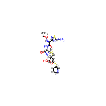 CCON=C(C(=O)NC1C(=O)N2CC(C=CSc3cccnc3)(C(=O)O)CS[C@H]12)c1nsc(N)n1